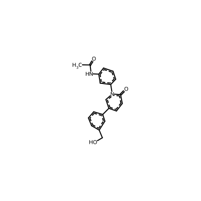 CC(=O)Nc1cccc(-n2cc(-c3cccc(CO)c3)ccc2=O)c1